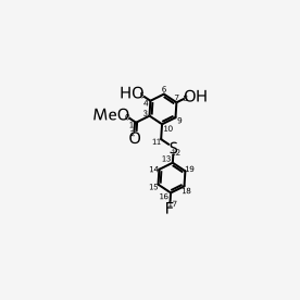 COC(=O)c1c(O)cc(O)cc1CSc1ccc(F)cc1